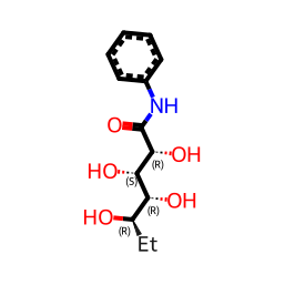 CC[C@@H](O)[C@@H](O)[C@H](O)[C@@H](O)C(=O)Nc1ccccc1